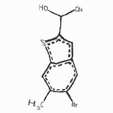 Cc1cc2sc(C(O)O)cc2cc1Br